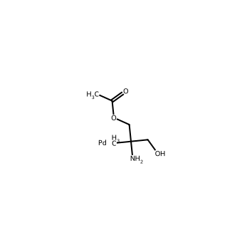 CC(=O)OCC(C)(N)CO.[Pd]